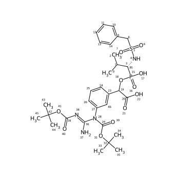 CC(C)[C@H](NS(=O)(=O)Cc1ccccc1)P(=O)(O)OC(C(=O)O)c1cccc(N(C(=O)OC(C)(C)C)C(N)=NC(=O)OC(C)(C)C)c1